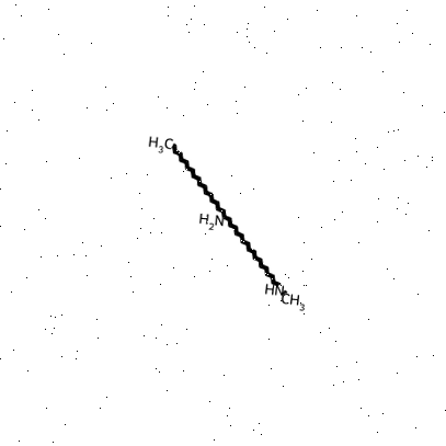 CCCCCCCCCCCCCCCCCCC(N)CCCCCCCCCCCCCCCCCNCC